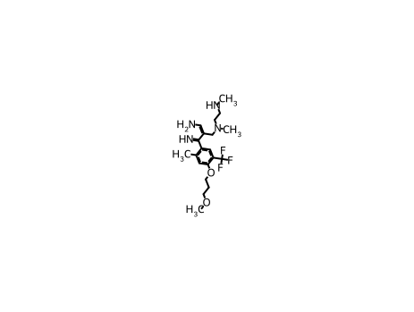 CNCCN(C)C/C(=C/N)C(=N)c1cc(C(F)(F)F)c(OCCCOC)cc1C